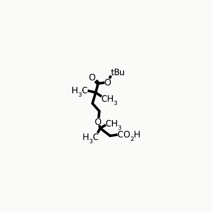 CC(C)(C)OC(=O)C(C)(C)CCOC(C)(C)CC(=O)O